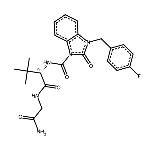 CC(C)(C)[C@H](NC(=O)n1c(=O)n(Cc2ccc(F)cc2)c2ccccc21)C(=O)NCC(N)=O